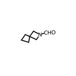 O=CN1CC2(CCC2)C1